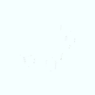 CCOc1cccc(OCC(=O)N2CCN(Cc3ccc(Cl)cc3)CC2)c1